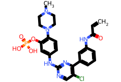 C=CC(=O)Nc1cccc(-c2nc(Nc3ccc(N4CCN(C)CC4)c(OP(=O)(O)O)c3)ncc2Cl)c1